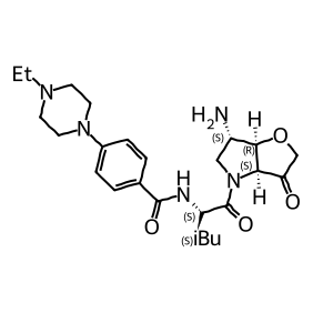 CC[C@H](C)[C@H](NC(=O)c1ccc(N2CCN(CC)CC2)cc1)C(=O)N1C[C@H](N)[C@H]2OCC(=O)[C@H]21